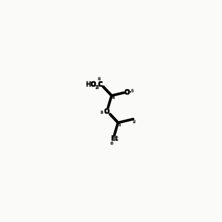 CCC(C)OC([O])C(=O)O